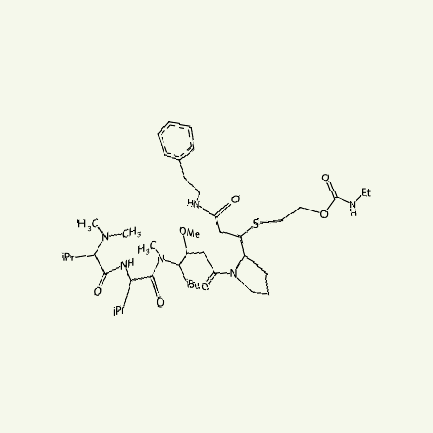 CCNC(=O)OCCSC(CC(=O)NCCc1ccccc1)C1CCCN1C(=O)CC(OC)C(C(C)CC)N(C)C(=O)C(NC(=O)C(C(C)C)N(C)C)C(C)C